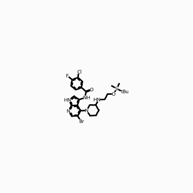 CC(C)(C)[Si](C)(C)OCCNC1CCCN(c2c(Br)cnc3[nH]cc(NC(=O)c4ccc(F)c(Cl)c4)c23)C1